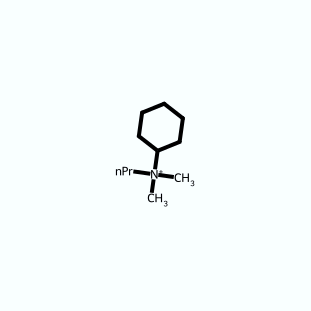 [CH2]CC[N+](C)(C)C1CCCCC1